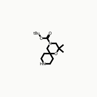 CC(C)(C)OC(=O)N1CC(C)(C)OC2(CCNCC2)C1